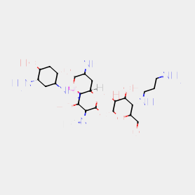 CNC1C(O[C@H]2OC(CO)[C@@H](NCCCN)C(O)C2O)O[C@H]2CC(N)[C@@H](O[C@H]3CC(O)[C@H](N)CC3N)OC2C1O